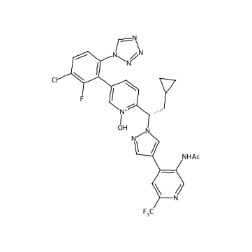 CC(=O)Nc1cnc(C(F)(F)F)cc1-c1cnn([C@@H](CC2CC2)c2ccc(-c3c(-n4cnnn4)ccc(Cl)c3F)c[n+]2O)c1